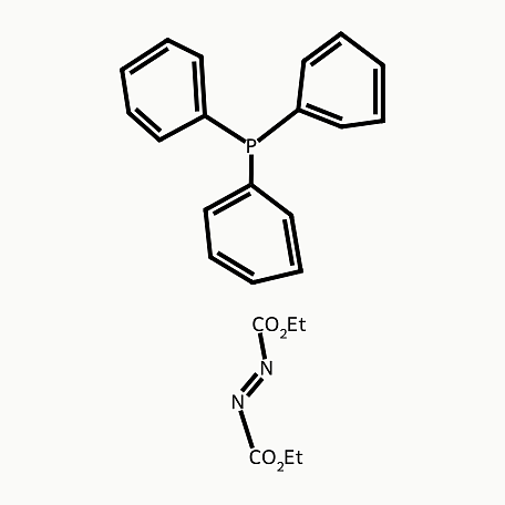 CCOC(=O)/N=N/C(=O)OCC.c1ccc(P(c2ccccc2)c2ccccc2)cc1